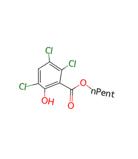 CCCCCOC(=O)c1c(O)c(Cl)cc(Cl)c1Cl